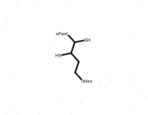 CCCCCCCCC(S)C(S)CCCCC